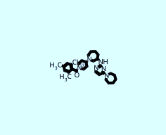 Cc1cc(C)c(C(=O)N2CCC(N3CCCCC(Nc4nccc(N5CCCCCC5)n4)C3)CC2)c(C)c1